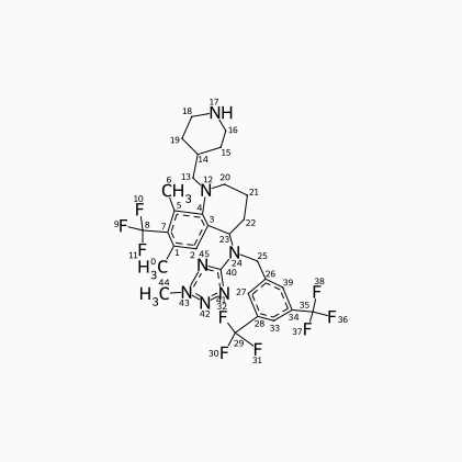 Cc1cc2c(c(C)c1C(F)(F)F)N(CC1CCNCC1)CCCC2N(Cc1cc(C(F)(F)F)cc(C(F)(F)F)c1)c1nnn(C)n1